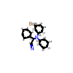 N#CC(c1ccccc1)N(c1ccccc1)c1cccc(Br)c1